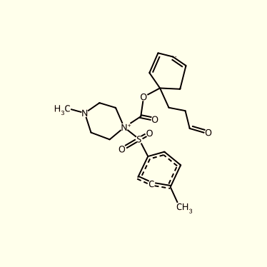 Cc1ccc(S(=O)(=O)[N+]2(C(=O)OC3(CCC=O)C=C[C]=CC3)CCN(C)CC2)cc1